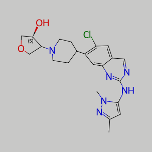 Cc1cc(Nc2ncc3cc(Cl)c(C4CCN(C5COC[C@H]5O)CC4)cc3n2)n(C)n1